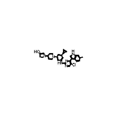 Cc1ccc2c(-c3nc(Nc4cc(C5CC5)cc(N5CCC(N6CC[C@H](O)C6)CC5)c4)ncc3Cl)c[nH]c2c1